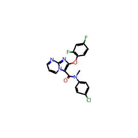 CN(C(=O)c1c(Oc2ccc(F)cc2F)nc2ncccn12)c1ccc(Cl)cc1